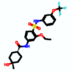 CCOc1cc(NC(=O)[C@H]2CC[C@@](C)(O)CC2)ccc1S(=O)(=O)Nc1cccc(OC(F)(F)F)c1